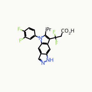 CC(C)c1c(C(F)(F)CC(=O)O)c2cc3[nH]ncc3cc2n1-c1ccc(F)c(F)c1